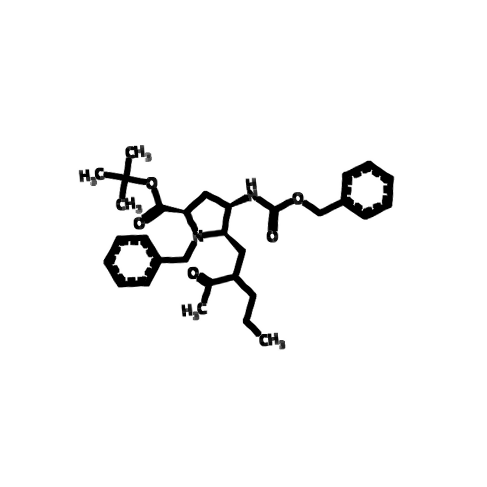 CCCC(C[C@@H]1[C@H](NC(=O)OCc2ccccc2)C[C@H](C(=O)OC(C)(C)C)N1Cc1ccccc1)C(C)=O